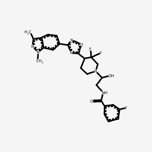 Cc1nn(C)c2cc(-c3noc(C4CCN(C(O)CNC(=O)c5cccc(F)c5)CC4(F)F)n3)ccc12